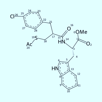 COC(=O)[C@H](Cc1c[nH]c2ccccc12)NC(=O)C(CSC(C)=O)Cc1ccc(Cl)cc1